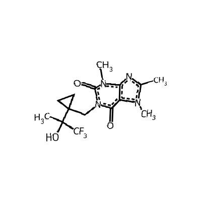 Cc1nc2c(c(=O)n(CC3(C(C)(O)C(F)(F)F)CC3)c(=O)n2C)n1C